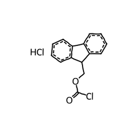 Cl.O=C(Cl)OCC1c2ccccc2-c2ccccc21